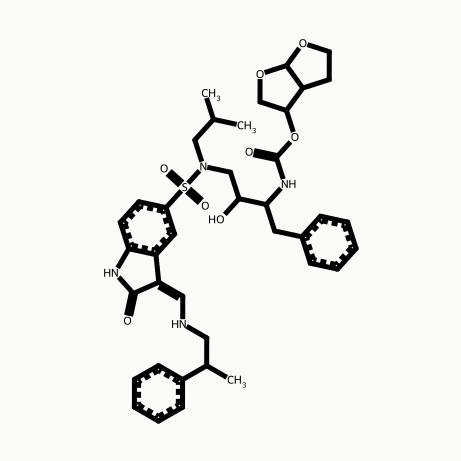 CC(C)CN(CC(O)C(Cc1ccccc1)NC(=O)OC1COC2OCCC12)S(=O)(=O)c1ccc2c(c1)C(=CNCC(C)c1ccccc1)C(=O)N2